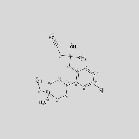 C#CCC(C)(O)Cc1cnc(Cl)cc1N1CCC(C)(CO)CC1